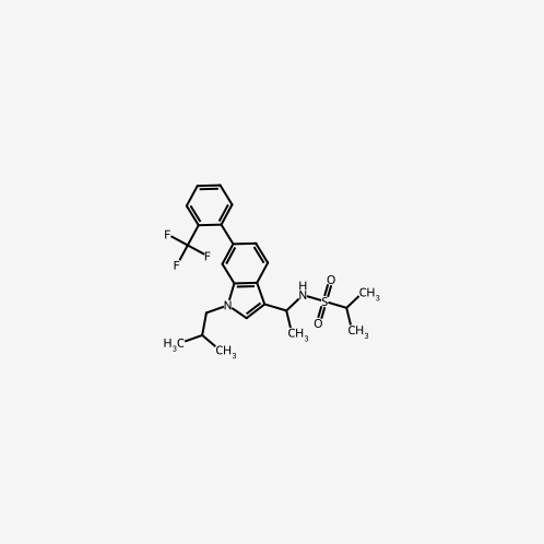 CC(C)Cn1cc(C(C)NS(=O)(=O)C(C)C)c2ccc(-c3ccccc3C(F)(F)F)cc21